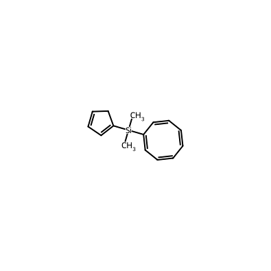 C[Si](C)(C1=CC=CC1)C1=C/C=C\C=C/C=C\1